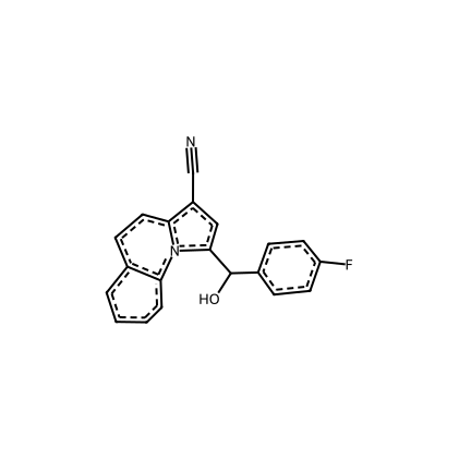 N#Cc1cc(C(O)c2ccc(F)cc2)n2c1ccc1ccccc12